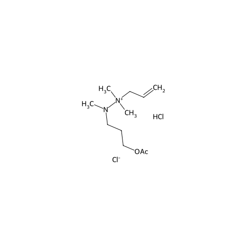 C=CC[N+](C)(C)N(C)CCCOC(C)=O.Cl.[Cl-]